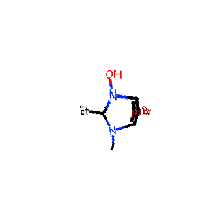 Br.CCC1N(C)C=CN1O